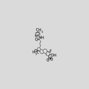 Cc1cnc(NC(=O)CCC[C@@H]2CC(=O)[C@@]3(C)CCC4c5cc([N+](=O)[O-])c(O)c(F)c5CCC4C23)s1